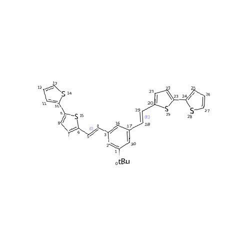 CC(C)(C)c1cc(/C=C/c2ccc(-c3cccs3)s2)cc(/C=C/c2ccc(-c3cccs3)s2)c1